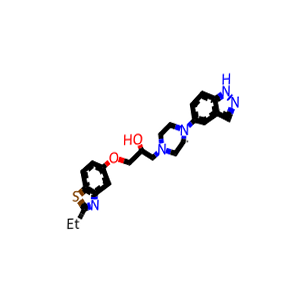 CCc1nc2cc(OCC(O)CN3C[CH]N(c4ccc5[nH]ncc5c4)CC3)ccc2s1